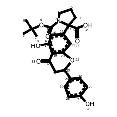 CC(C)(C)OC(=O)N1CCCC1(C(=O)O)c1cc(O)c2c(c1)OC(c1ccc(O)cc1)CC2=O